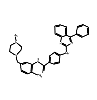 CC(=O)N1CCN(Cc2ccc(C)c(NC(=O)c3ccc(Nc4nc(-c5ccccc5)c5ccccc5n4)cc3)c2)CC1